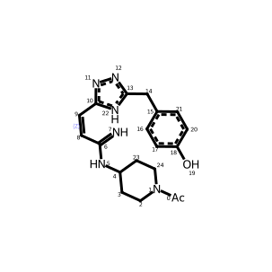 CC(=O)N1CCC(NC(=N)/C=C\c2nnc(Cc3ccc(O)cc3)[nH]2)CC1